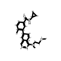 COCCN(C)c1nncc2cc(-c3cc(C(=O)NC4CC4)ccc3C)ccc12